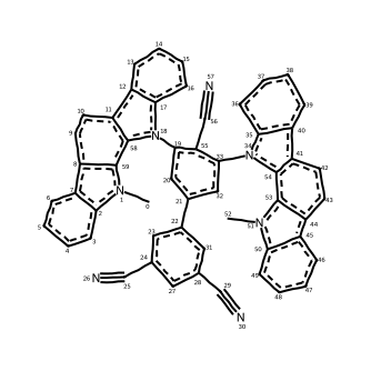 Cn1c2ccccc2c2ccc3c4ccccc4n(-c4cc(-c5cc(C#N)cc(C#N)c5)cc(-n5c6ccccc6c6ccc7c8ccccc8n(C)c7c65)c4C#N)c3c21